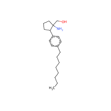 CCCCCCCCc1ccc(C2CCCC2(N)CO)cc1